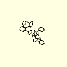 c1ccc(-c2nc(-c3ccc(-c4cccc5c4-c4ccccc4CO5)cc3)nc(-c3cccc4c3sc3ccccc34)n2)cc1